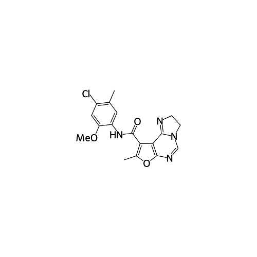 COc1cc(Cl)c(C)cc1NC(=O)c1c(C)oc2c1C1=NCCN1C=N2